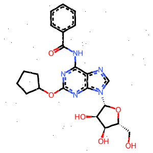 O=C(Nc1nc(OC2CCCC2)nc2c1ncn2[C@@H]1O[C@H](CO)[C@@H](O)[C@H]1O)c1ccccc1